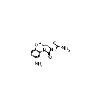 NC(=O)CN1CC2COc3ccc(N)cc3N2C1=O